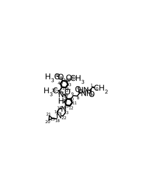 C=CC(=O)NNC(=O)CCc1ccc(N2CCN(CC3CC3)CC2)cc1C(=O)NC(C)c1ccc(OC)c(OC)c1